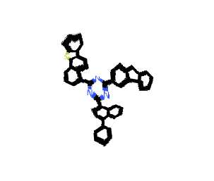 c1ccc(-c2ccc(-c3nc(-c4ccc5c(c4)-c4ccccc4C5)nc(-c4cccc5c4ccc4c6ccccc6sc54)n3)c3ccccc23)cc1